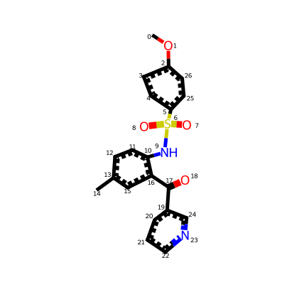 COc1ccc(S(=O)(=O)Nc2ccc(C)cc2C(=O)c2cccnc2)cc1